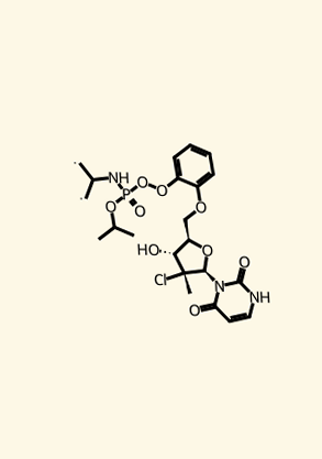 [CH2]C([CH2])NP(=O)(OOc1ccccc1OC[C@H]1O[C@@H](n2c(=O)cc[nH]c2=O)[C@](C)(Cl)[C@@H]1O)OC(C)C